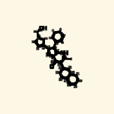 Cc1[nH]c2c(-c3ccccc3)c(-c3ccn(CO)c3)nn2c(=O)c1-c1ccc2ncccc2c1